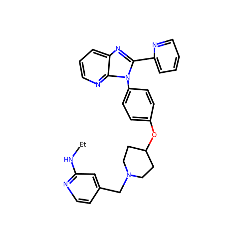 CCNc1cc(CN2CCC(Oc3ccc(-n4c(-c5ccccn5)nc5cccnc54)cc3)CC2)ccn1